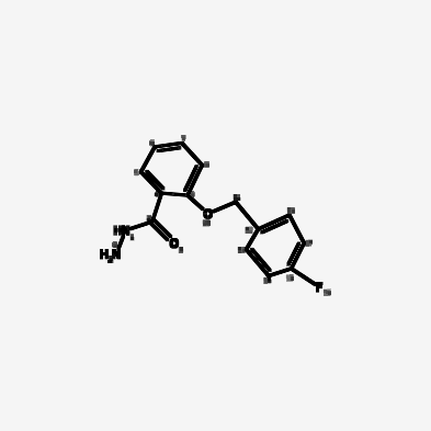 NNC(=O)c1ccccc1OCc1ccc(F)cc1